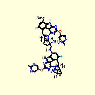 CNc1cc(F)c2c3c1[nH]c1nc(Oc4cnc(C)nc4)nc(c13)N1[C@@H](C2)[C@@H]2CC[C@@](N)(CNc3cc(F)c4c5c3[nH]c3nc(Oc6cnc(C)nc6)nc(c35)N3C[C@@H]5C[C@@H]([C@@H]5N)[C@@H]3C4)[C@@H]21